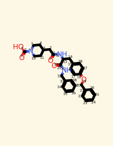 O=C(CC1CCN(C(=O)O)CC1)NC(Cc1ccc(OCc2ccccc2)cc1)C(=O)NCc1ccccc1